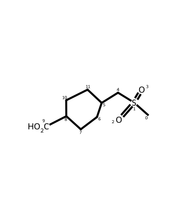 CS(=O)(=O)CC1CCC(C(=O)O)CC1